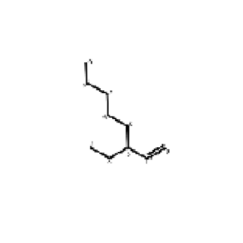 C=[C]C(CC)CCCCC